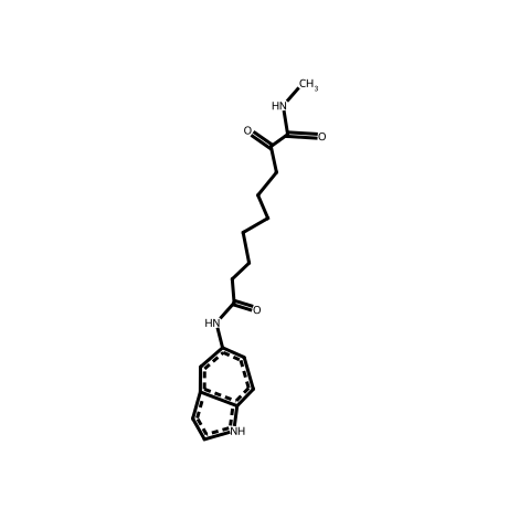 CNC(=O)C(=O)CCCCCCC(=O)Nc1ccc2[nH]ccc2c1